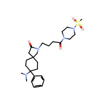 CN(C)C1(c2ccccc2)CCC2(CC1)CC(=O)N(CCCC(=O)N1CCN(S(C)(=O)=O)CC1)C2